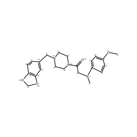 COc1ccc(N(C)CC(=O)N2CCN(Cc3ccc4c(c3)OCO4)CC2)cc1